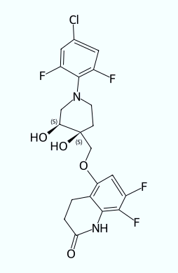 O=C1CCc2c(OC[C@@]3(O)CCN(c4c(F)cc(Cl)cc4F)C[C@@H]3O)cc(F)c(F)c2N1